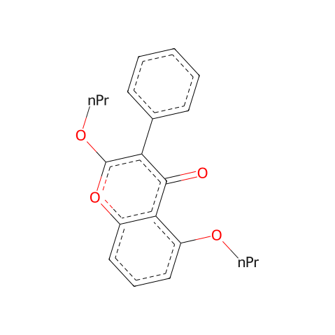 CCCOc1oc2cccc(OCCC)c2c(=O)c1-c1ccccc1